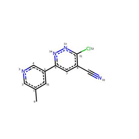 Cc1cncc(-c2cc(C#N)c(Cl)nn2)c1